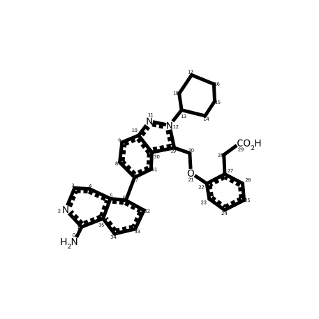 Nc1nccc2c(-c3ccc4nn(C5CCCCC5)c(COc5ccccc5CC(=O)O)c4c3)cccc12